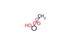 C=COC(=O)OC1CCCCC1O